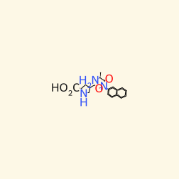 C[C@H](N)C(=O)N(OCC1CN[C@H](C(=O)O)C1)c1ccc2ccccc2c1